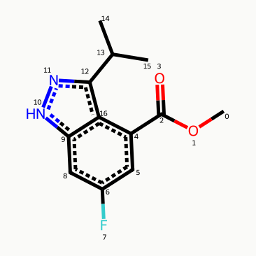 COC(=O)c1cc(F)cc2[nH]nc(C(C)C)c12